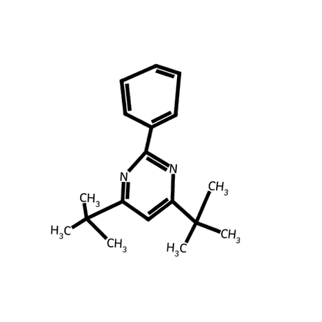 CC(C)(C)c1cc(C(C)(C)C)nc(-c2ccccc2)n1